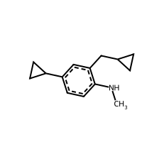 CNc1ccc(C2CC2)cc1CC1CC1